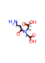 NCCC(=O)N(CC(=O)O)CC(=O)O